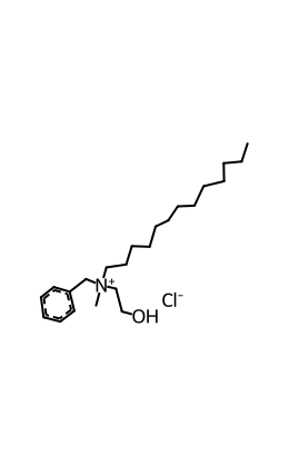 CCCCCCCCCCCCC[N+](C)(CCO)Cc1ccccc1.[Cl-]